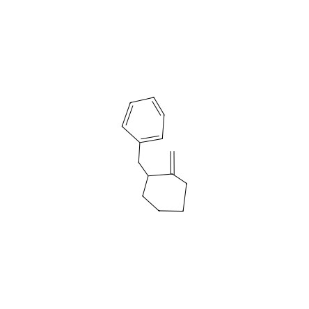 C=C1CCCCC1Cc1ccccc1